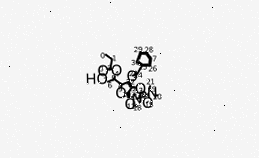 CCC(=O)OC(CO)C1OC(=O)C(OP(=O)(N(C)C)N(C)C)=C1OCc1ccccc1